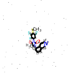 CSc1c(F)cc(N2C(=O)N(c3cccc4cnccc34)C(C)(C)C2=O)c(F)c1F